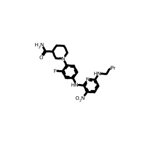 CC(C)CNc1ccc([N+](=O)[O-])c(Nc2ccc(N3CCCC(C(N)=O)C3)c(F)c2)n1